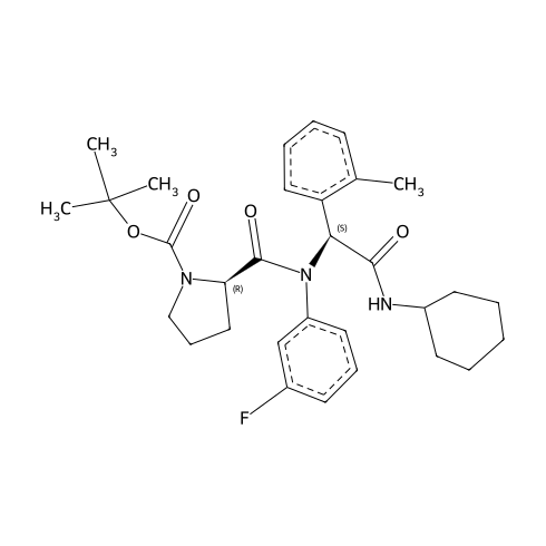 Cc1ccccc1[C@@H](C(=O)NC1CCCCC1)N(C(=O)[C@H]1CCCN1C(=O)OC(C)(C)C)c1cccc(F)c1